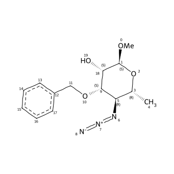 CO[C@H]1O[C@H](C)[C@@H](N=[N+]=[N-])[C@H](OCc2ccccc2)[C@@H]1O